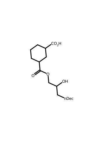 CCCCCCCCCCCC(O)COC(=O)C1CCCC(C(=O)O)C1